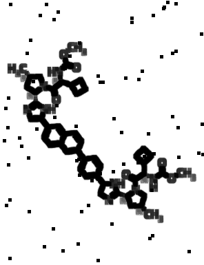 COC(=O)N[C@H](C(=O)N1C[C@@H](C)C[C@H]1C1=NCC(c2ccc(-c3ccc4cc(-c5cnc([C@@H]6C[C@H](C)CN6C(=O)[C@@H](NC(=O)OC)C6CCC6)[nH]5)ccc4c3)cc2)N1)C1CCC1